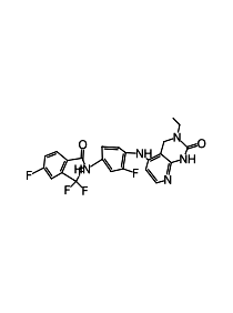 CCN1Cc2c(Nc3ccc(NC(=O)c4ccc(F)cc4C(F)(F)F)cc3F)ccnc2NC1=O